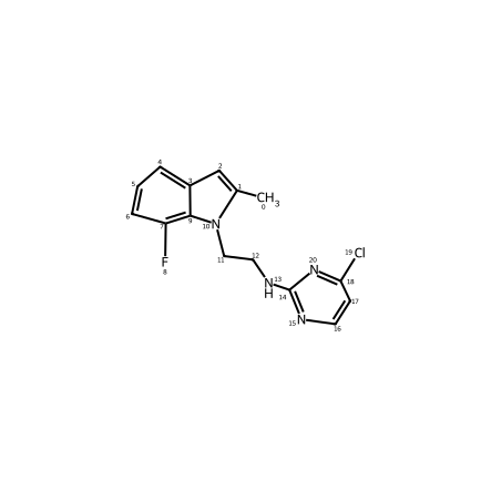 Cc1cc2cccc(F)c2n1CCNc1nccc(Cl)n1